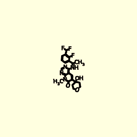 C[C@@H](Nc1ncnc2c1cc(C1(O)CCOCC1)c(=O)n2C)c1cccc(C(F)F)c1F